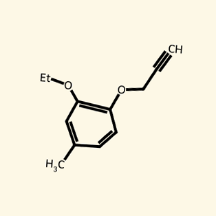 C#CCOc1ccc(C)cc1OCC